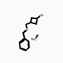 COC.OC1CC(COCc2ccccc2)C1